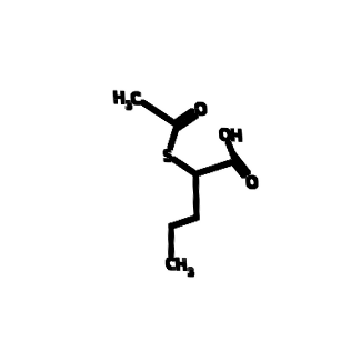 CCCC(SC(C)=O)C(=O)O